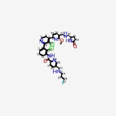 COc1nc(-c2ccnc(-c3cccc(NC(=O)c4ccc(CNCCCF)cn4)c3Cl)c2Cl)ccc1CNC[C@H]1CCC(=O)N1